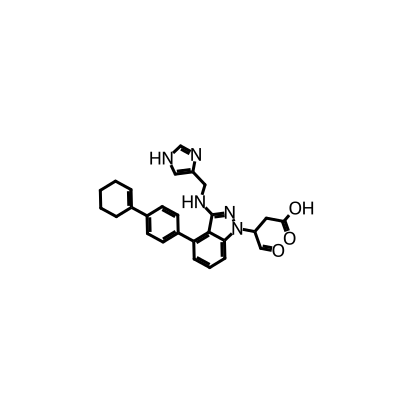 O=CC(CC(=O)O)n1nc(NCc2c[nH]cn2)c2c(-c3ccc(C4=CCCCC4)cc3)cccc21